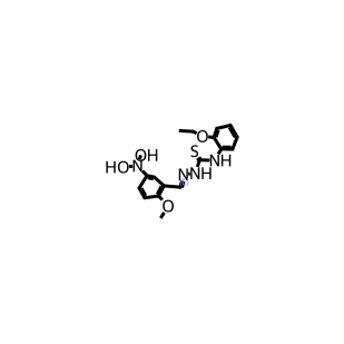 CCOc1ccccc1NC(=S)N/N=C/c1cc(N(O)O)ccc1OC